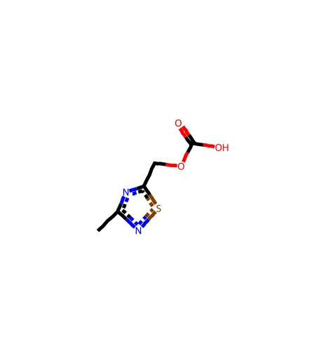 Cc1nsc(COC(=O)O)n1